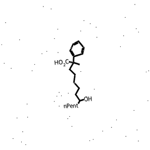 CCCCCC(O)CCCCCC(C)(C(=O)O)c1ccccc1